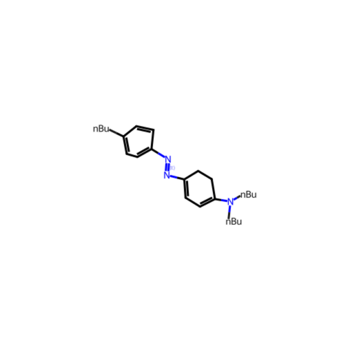 CCCCc1ccc(/N=N/C2=CC=C(N(CCCC)CCCC)CC2)cc1